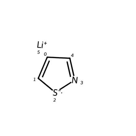 C1=C[S-]N=C1.[Li+]